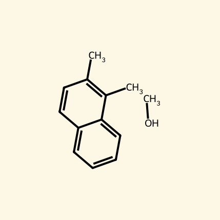 CO.Cc1ccc2ccccc2c1C